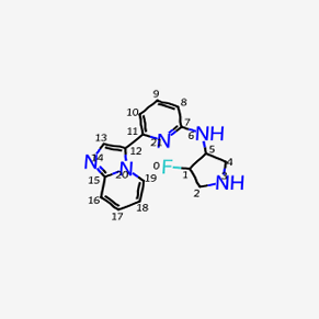 FC1CNCC1Nc1cccc(-c2cnc3ccccn23)n1